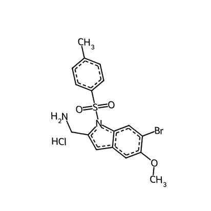 COc1cc2cc(CN)n(S(=O)(=O)c3ccc(C)cc3)c2cc1Br.Cl